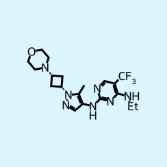 CCNc1nc(Nc2cnn([C@H]3C[C@@H](N4CCOCC4)C3)c2C)ncc1C(F)(F)F